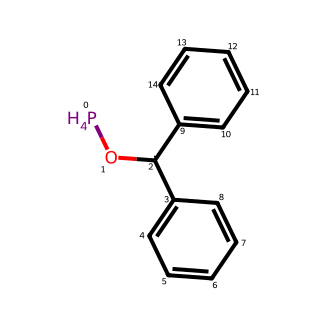 [PH4]O[C](c1ccccc1)c1ccccc1